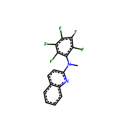 CN(c1ccc2ccccc2n1)c1c(F)c(F)c(F)c(F)c1F